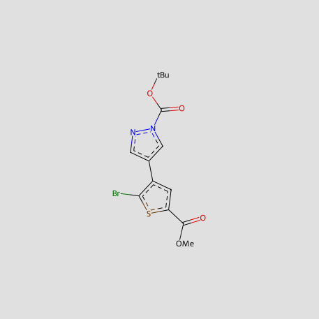 COC(=O)c1cc(-c2cnn(C(=O)OC(C)(C)C)c2)c(Br)s1